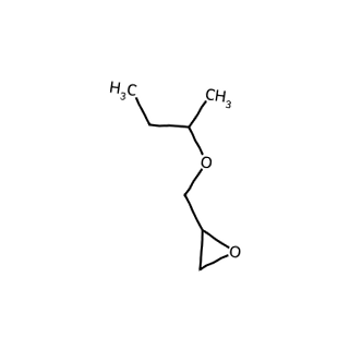 CCC(C)OCC1CO1